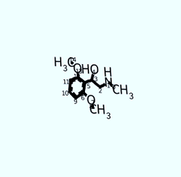 CNCC(O)c1c(OC)cccc1OC